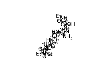 CCNC(=O)[C@@H]1O[C@@H](n2cnc3c(N)nc(Nc4ccc5c(c4)CCC(C(=O)Nc4nc6c(c(=O)n(CC)c(=O)n6CC)n4C)N5)nc32)[C@H](O)[C@@H]1C